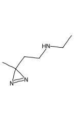 CCNCCC1(C)N=N1